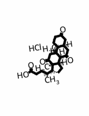 C[C@H](CCC(=O)O)[C@H]1CC[C@H]2[C@@H]3C(=O)C[C@@H]4CC(=O)CC[C@]4(C)[C@H]3CC(=O)[C@]12C.Cl